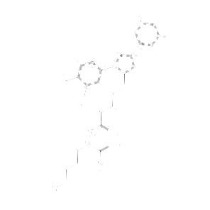 NCCCCC(NC(=O)CCCOc1cc(-c2cccnc2)nn1-c1ccc(Cl)c(Cl)c1)C(N)=O